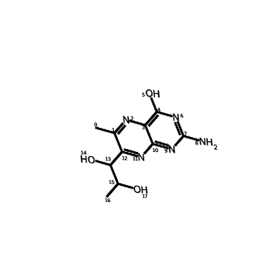 Cc1nc2c(O)nc(N)nc2nc1C(O)C(C)O